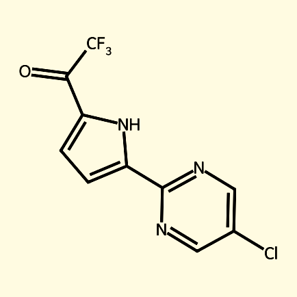 O=C(c1ccc(-c2ncc(Cl)cn2)[nH]1)C(F)(F)F